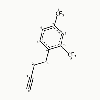 C#CCCc1ccc(C(F)(F)F)cc1C(F)(F)F